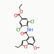 CCOC(=O)c1cc(Cl)c(NC(=O)c2ccc(OC)c3oc(CC)cc23)c(Cl)c1